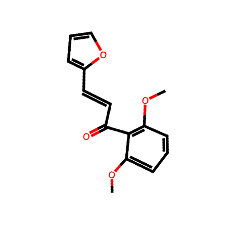 COc1cccc(OC)c1C(=O)/C=C/c1ccco1